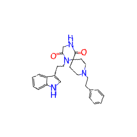 O=C1CNC(=O)C2(CCN(CCc3ccccc3)CC2)N1CCc1c[nH]c2ccccc12